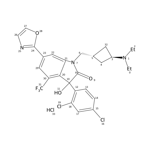 CCN(CC)[C@H]1C[C@H](CN2C(=O)C(O)(c3ccc(Cl)cc3Cl)c3c2cc(-c2ncco2)cc3C(F)(F)F)C1.Cl